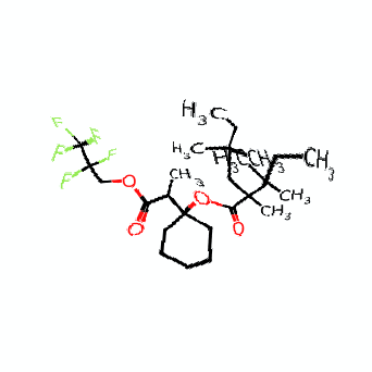 CCC(C)(C)CC(C)(C(=O)OC1(C(C)C(=O)OCC(F)(F)C(F)(F)F)CCCCC1)C(C)(C)CC